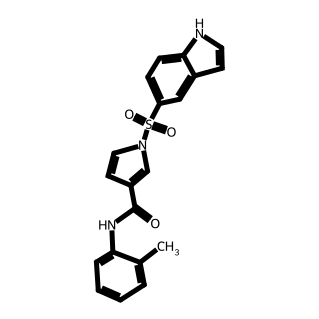 Cc1ccccc1NC(=O)c1ccn(S(=O)(=O)c2ccc3[nH]ccc3c2)c1